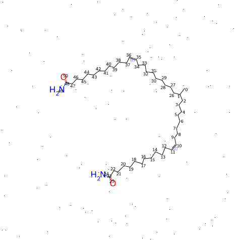 CC(CCCCCCCC/C=C\CCCCCCCCCCCC(N)=O)CCCCCCCCC/C=C\CCCCCCCCCCCC(N)=O